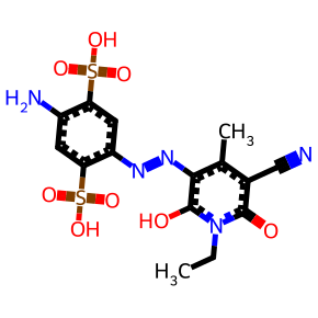 CCn1c(O)c(N=Nc2cc(S(=O)(=O)O)c(N)cc2S(=O)(=O)O)c(C)c(C#N)c1=O